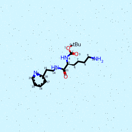 CC(C)(C)OC(=O)N[C@@H](CCCCN)C(=O)NCCc1ccccn1